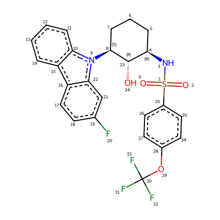 O=S(=O)(N[C@@H]1CCC[C@H](n2c3ccccc3c3ccc(F)cc32)[C@H]1O)c1ccc(OC(F)(F)F)cc1